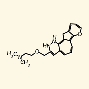 CN(C)CCOCC1=CC2=CC=CC3=C4OC=CC=C4CC3=C2NN1